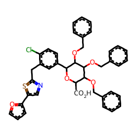 O=C(O)C1OC(c2ccc(Cl)c(Cc3ncc(-c4ccco4)s3)c2)C(OCc2ccccc2)C(OCc2ccccc2)C1OCc1ccccc1